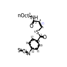 CCCCCCCCNC(=O)/C=C\SC(=O)c1ccc(N=C=S)cc1